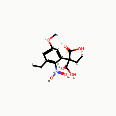 CCc1cc(OC)cc(C(CC)(C(=O)O)C(=O)O)c1[N+](=O)[O-]